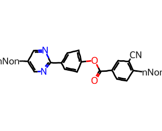 CCCCCCCCCc1cnc(-c2ccc(OC(=O)c3ccc(CCCCCCCCC)c(C#N)c3)cc2)nc1